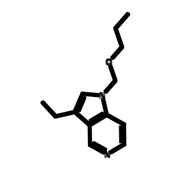 CCCOCn1cc(CC)c2cnccc21